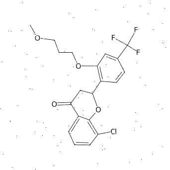 COCCCOc1cc(C(F)(F)F)ccc1C1CC(=O)c2cccc(Cl)c2O1